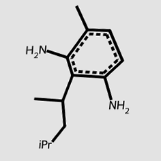 Cc1ccc(N)c(C(C)CC(C)C)c1N